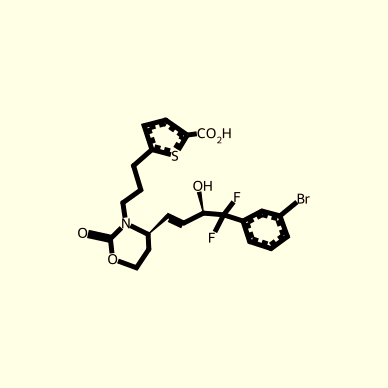 O=C(O)c1ccc(CCCN2C(=O)OCC[C@@H]2C=C[C@@H](O)C(F)(F)c2cccc(Br)c2)s1